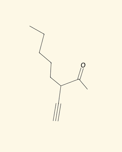 C#CC(CCCCC)C(C)=O